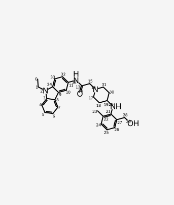 CCn1c2ccccc2c2cc(NC(=O)CN3CCC(Nc4c(C)cccc4CO)CC3)ccc21